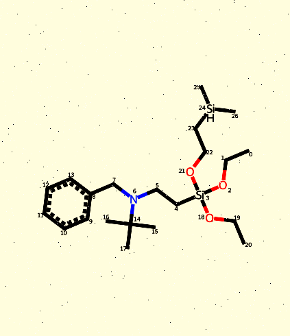 CCO[Si](CCN(Cc1ccccc1)C(C)(C)C)(OCC)OCC[SiH](C)C